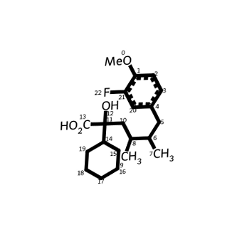 COc1ccc(CC(C)C(C)CC(O)(C(=O)O)C2CCCCC2)cc1F